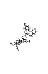 CC(C)(C)OC(=O)N[C@H]1CO[C@H](C(=O)N2CCc3ccccc3[C@@H]2c2ccc(F)cc2)C[C@@H]1O